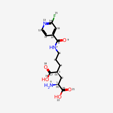 N[C@@H](C[C@H](CCCNC(=O)c1ccnc(F)c1)C(=O)O)C(=O)O